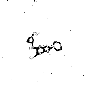 O=C(O)N1CC[C@H](Nc2nc3nc(N4CCOCC4)oc3cc2[N+](=O)[O-])C1